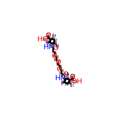 O=C(CCOCCOCCOCCC(=O)Nc1c(I)cc(I)c(C(=O)O)c1I)Nc1c(I)cc(I)c(C(=O)O)c1I